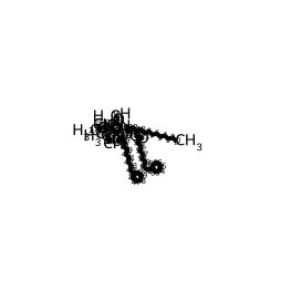 CCCCCCCCCCCC(CC(=O)N[C@H]1[C@H](OC)O[C@H](COC(C)(C)C)[C@@H](O[SiH](C)C)[C@@H]1OC(=O)CCCCCCCCc1ccccc1)OC(=O)CCCCCCCCc1ccccc1